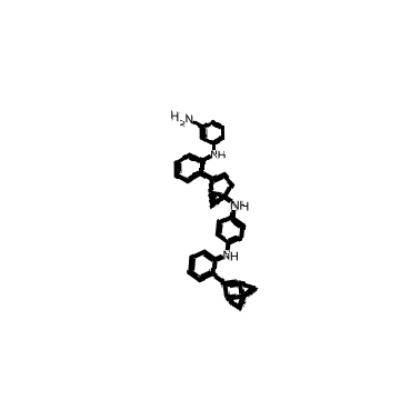 Nc1cccc(Nc2ccccc2C2=CCC3(Nc4ccc(Nc5ccccc5C5=C6CC67CC57)cc4)C=C23)c1